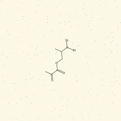 C=C(C)C(=O)OCC(C)N(CC)CC